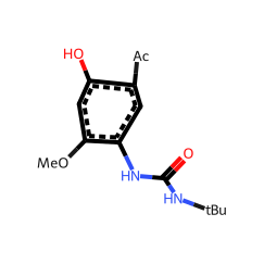 COc1cc(O)c(C(C)=O)cc1NC(=O)NC(C)(C)C